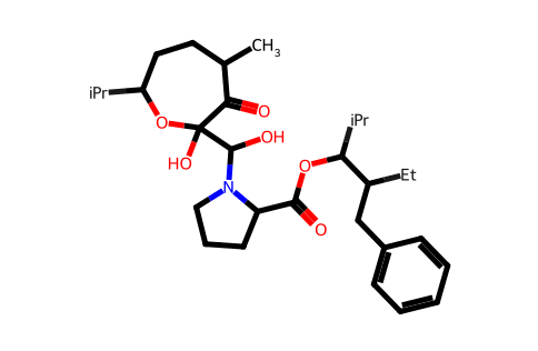 CCC(Cc1ccccc1)C(OC(=O)C1CCCN1C(O)C1(O)OC(C(C)C)CCC(C)C1=O)C(C)C